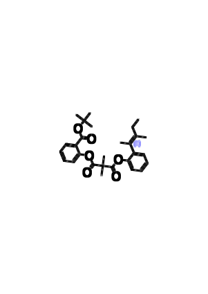 CC/C(C)=C(\C)c1ccccc1OC(=O)C(C)(C)C(=O)Oc1ccccc1C(=O)OC(C)(C)C